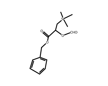 C[Si](C)(C)CC(O[C]=O)C(=O)OCc1ccccc1